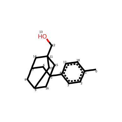 Cc1ccc(C23CC4CC(CC(CO)(C4)C2)C3)cc1